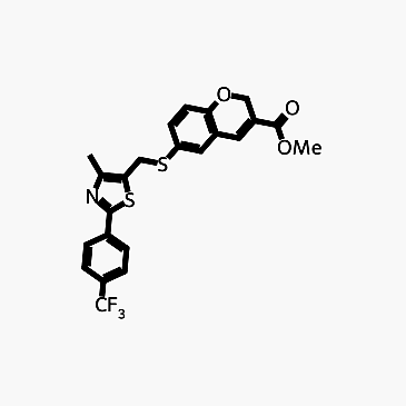 COC(=O)C1=Cc2cc(SCc3sc(-c4ccc(C(F)(F)F)cc4)nc3C)ccc2OC1